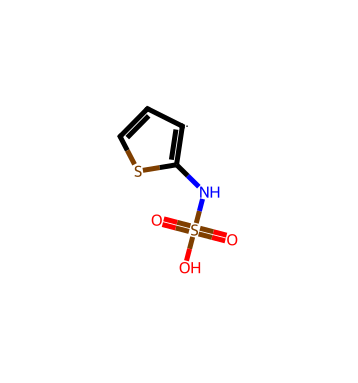 O=S(=O)(O)Nc1[c]ccs1